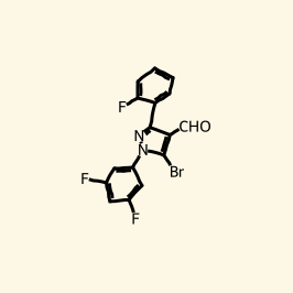 O=Cc1c(-c2ccccc2F)nn(-c2cc(F)cc(F)c2)c1Br